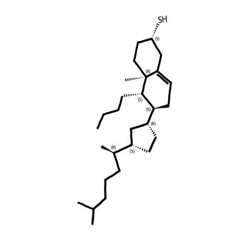 CCCC[C@H]1[C@H]([C@@H]2CC[C@H]([C@H](C)CCCC(C)C)C2)CC=C2C[C@@H](S)CC[C@@]21C